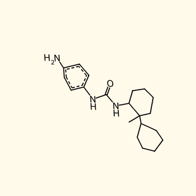 CC1(C2CCCCC2)CCCCC1NC(=O)Nc1ccc(N)cc1